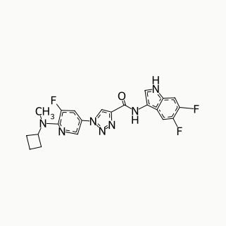 CN(c1ncc(-n2cc(C(=O)Nc3c[nH]c4cc(F)c(F)cc34)nn2)cc1F)C1CCC1